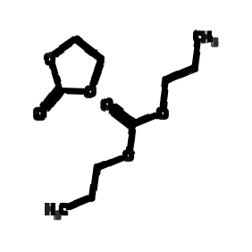 CCCOC(=O)OCCC.O=C1OCCO1